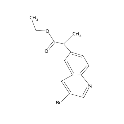 CCOC(=O)C(C)c1ccc2ncc(Br)cc2c1